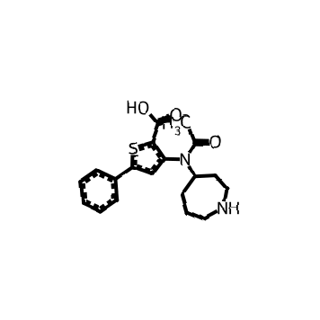 CC(=O)N(c1cc(-c2ccccc2)sc1C(=O)O)C1CCCNCC1